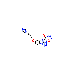 CC1c2cc(OCCCCCn3ccnc3)ccc2N=C2NC(=O)C(C(N)=O)N21